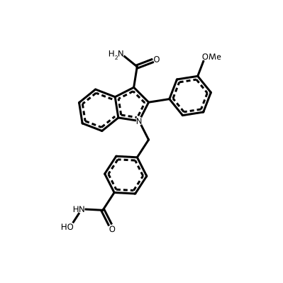 COc1cccc(-c2c(C(N)=O)c3ccccc3n2Cc2ccc(C(=O)NO)cc2)c1